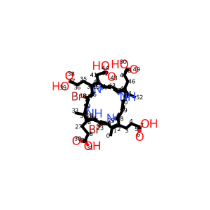 CC1=C(CCC(=O)O)c2cc3[nH]c(cc4nc(c(Br)c5[nH]c(c(Br)c1n2)c(CCC(=O)O)c5C)C(CCC(=O)O)=C4CC(=O)O)c(CCC(=O)O)c3C